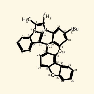 Cc1c(C)n2c3ccccc3c3c2n1-c1cc(C(C)(C)C)cc2c1B3c1ccc3oc4ccccc4c3c1O2